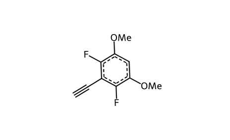 C#Cc1c(F)c(OC)cc(OC)c1F